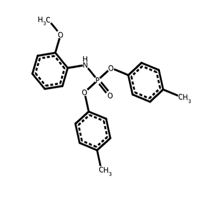 COc1ccccc1NP(=O)(Oc1ccc(C)cc1)Oc1ccc(C)cc1